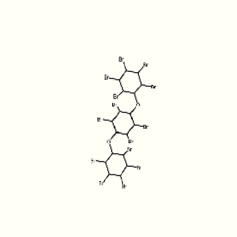 BrC1C(Br)C(Br)C(OC2C(Br)C(Br)C(OC3C(Br)C(Br)C(Br)C(Br)C3Br)C(Br)C2Br)C(Br)C1Br